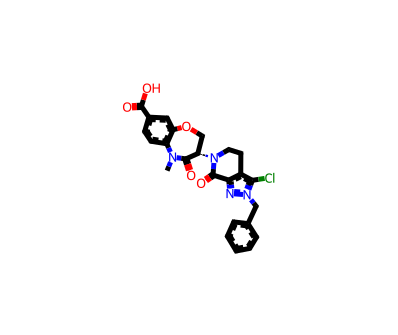 CN1C(=O)[C@@H](N2CCc3c(nn(Cc4ccccc4)c3Cl)C2=O)COc2cc(C(=O)O)ccc21